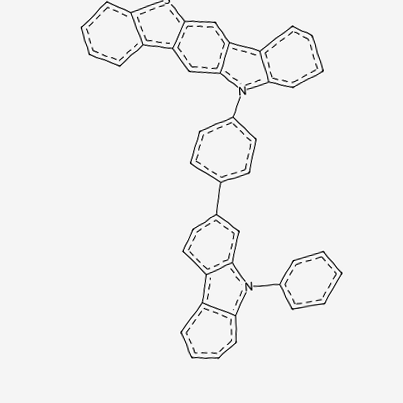 c1ccc(-n2c3ccccc3c3ccc(-c4ccc(-n5c6ccccc6c6cc7sc8ccccc8c7cc65)cc4)cc32)cc1